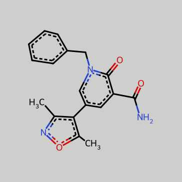 Cc1noc(C)c1-c1cc(C(N)=O)c(=O)n(Cc2ccccc2)c1